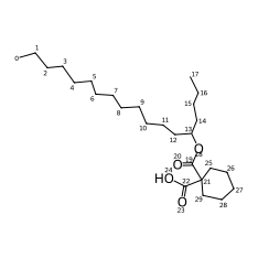 CCCCCCCCCCCCCC(CCCC)OC(=O)C1(C(=O)O)CCCCC1